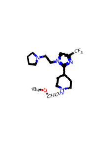 CC(C)(C)OC=O.FC(F)(F)c1cn(CCN2CCCC2)c(C2CCNCC2)n1